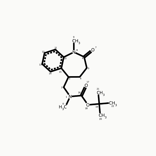 CN(CC1CCC(=O)N(C)c2ccccc21)C(=O)OC(C)(C)C